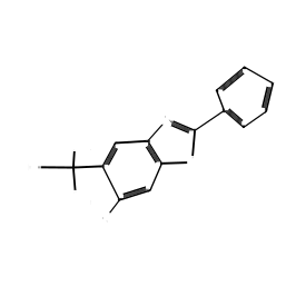 CC(C)(O)c1cc2nc(-c3ccccc3)sc2cc1N